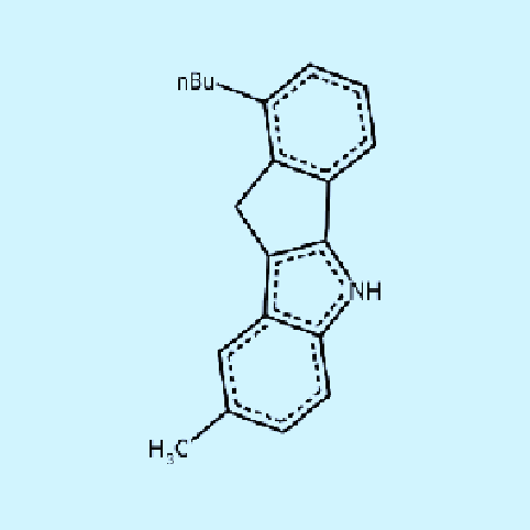 CCCCc1cccc2c1Cc1c-2[nH]c2ccc(C)cc12